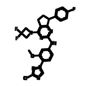 COc1cc(Nc2nc3c(c(N4CC(F)(F)C4)n2)CCC3c2ccc(F)cc2)ccc1-n1cnc(Cl)n1